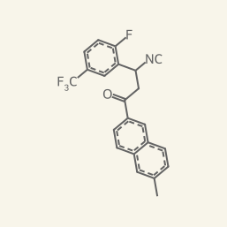 [C-]#[N+]C(CC(=O)c1ccc2cc(C)ccc2c1)c1cc(C(F)(F)F)ccc1F